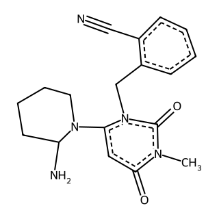 Cn1c(=O)cc(N2CCCCC2N)n(Cc2ccccc2C#N)c1=O